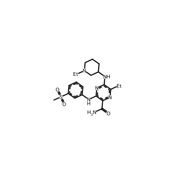 CCc1nc(C(N)=O)c(Nc2cccc(S(C)(=O)=O)c2)nc1NC1CCCN(CC)C1